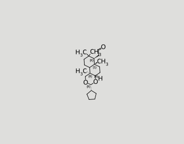 CC1(C)CCC2[C@]3(C)CO[C@@H](C4CCCC4)O[C@@H]3CC[C@@]2(C)[C@@H]1CC=O